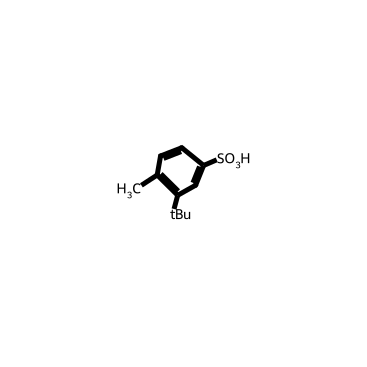 Cc1ccc(S(=O)(=O)O)cc1C(C)(C)C